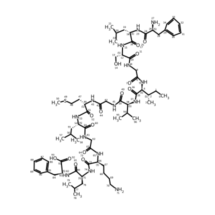 CC[C@H](C)[C@H](NC(=O)CNC(=O)[C@H](CO)NC(=O)[C@H](CC(C)C)NC(=O)[C@@H](N)Cc1ccccc1)C(=O)N[C@H](C(=O)NCC(=O)N[C@@H](CCSC)C(=O)N[C@@H](CC(C)C)C(=O)NCC(=O)N[C@@H](CCCCN)C(=O)N[C@@H](CC(C)C)C(=O)N[C@@H](Cc1ccccc1)C(=O)O)C(C)C